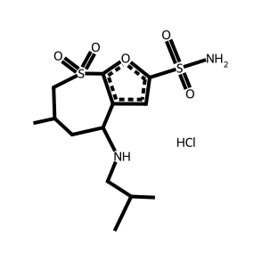 CC(C)CNC1CC(C)CS(=O)(=O)c2oc(S(N)(=O)=O)cc21.Cl